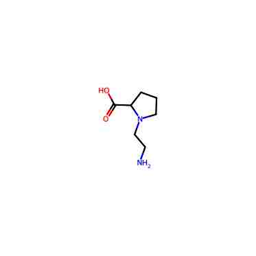 NCCN1CCCC1C(=O)O